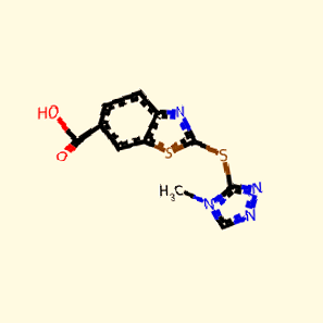 Cn1cnnc1Sc1nc2ccc(C(=O)O)cc2s1